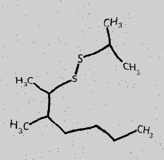 CCCCC(C)C(C)SSC(C)C